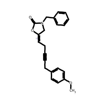 COc1ccc(CC#CC/C=C2\CN(Cc3ccccc3)C(=O)O2)cc1